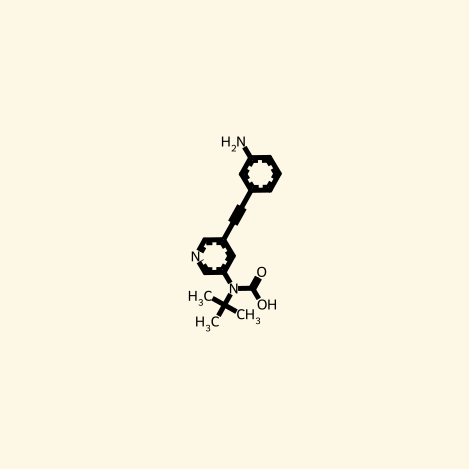 CC(C)(C)N(C(=O)O)c1cncc(C#Cc2cccc(N)c2)c1